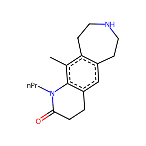 CCCN1C(=O)CCc2cc3c(c(C)c21)CCNCC3